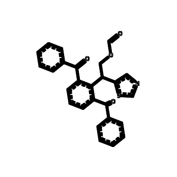 O=COCC(c1cncs1)c1c(C(=O)c2ccccc2)cccc1C(=O)c1ccccc1